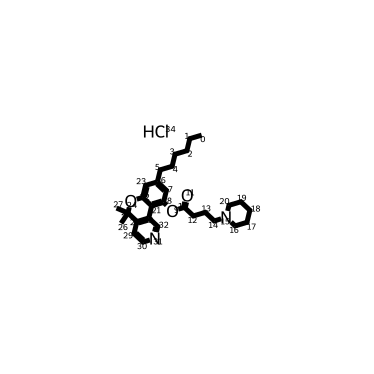 CCCCCCc1cc(OC(=O)CCCN2CCCCC2)c2c(c1)OC(C)(C)c1ccncc1-2.Cl